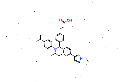 CCn1cc(-c2ccc3c(c2)CC(C)N(c2ccc(C(C)C)cc2)C3c2ccc(CCC(=O)O)cc2)cn1